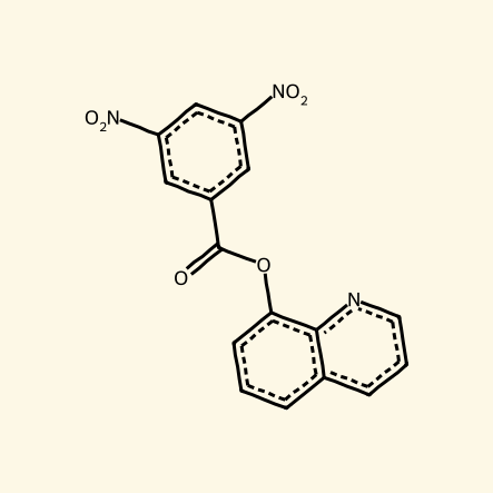 O=C(Oc1cccc2cccnc12)c1cc([N+](=O)[O-])cc([N+](=O)[O-])c1